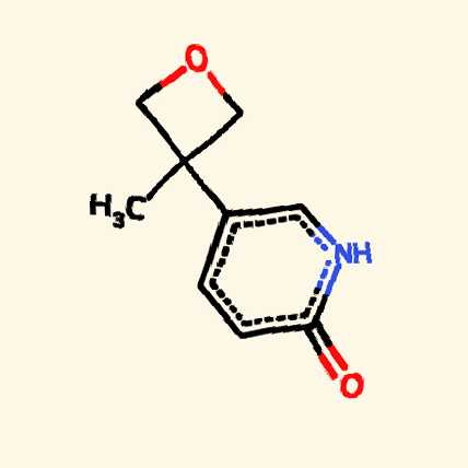 CC1(c2ccc(=O)[nH]c2)COC1